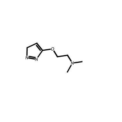 CN(C)CCOC1=CCN=N1